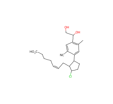 Cc1cc(C2CCC(Cl)C2C/C=C\CCCC(=O)O)c(C#N)cc1C(O)CO